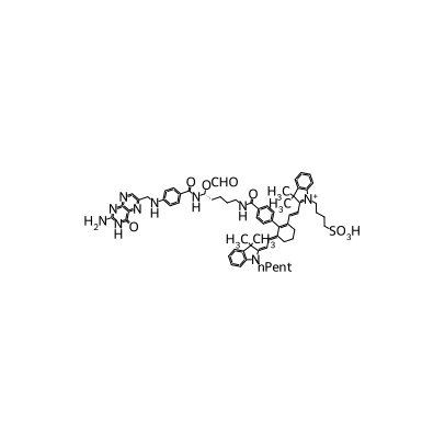 CCCCCN1/C(=C/C=C2\CCCC(/C=C/C3=[N+](CCCCS(=O)(=O)O)c4ccccc4C3(C)C)=C2c2ccc(C(=O)NCCCC[C@H](NC(=O)c3ccc(NCc4cnc5nc(N)[nH]c(=O)c5n4)cc3)OC=O)cc2)C(C)(C)c2ccccc21